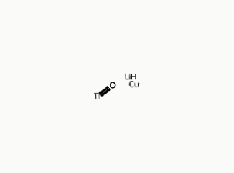 [Cu].[LiH].[O]=[Ti]